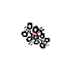 C[Si]1(C)c2ccccc2C2(c3ccccc31)c1cc(N3c4ccccc4Sc4ccccc43)sc1C1(c3ccccc3[Si](C)(C)c3ccccc31)c1cc(N3c4ccccc4Sc4ccccc43)sc12